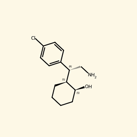 NC[C@@H](c1ccc(Cl)cc1)[C@@H]1CCCC[C@@H]1O